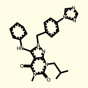 CC(C)Cn1c(=O)n(C)c(=O)c2c(Nc3ccccc3)n(Cc3ccc(-n4cncn4)cc3)nc21